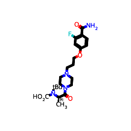 C[C@H](C(=O)N1CCN(CCCOc2ccc(C(N)=O)c(F)c2)CC1)N(C(=O)O)C(C)(C)C